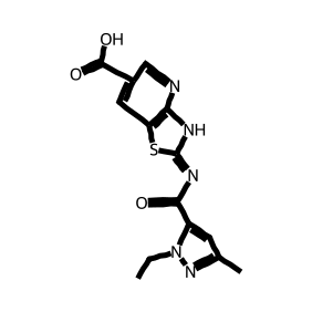 CCn1nc(C)cc1C(=O)N=c1[nH]c2ncc(C(=O)O)cc2s1